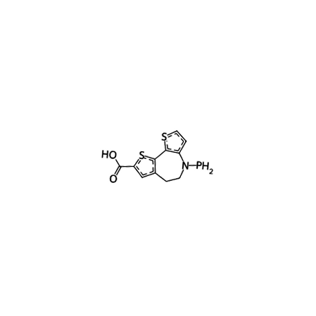 O=C(O)c1cc2c(s1)-c1sccc1N(P)CC2